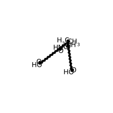 CC(C)[C@H](CCCCNC(=O)CCCCCCCCCCCCCCC(=O)O)NC(=O)CCCCCCCCCCCCCCC(=O)O